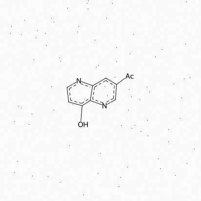 CC(=O)c1cnc2c(O)ccnc2c1